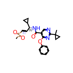 CC1(c2ncc(C(=O)N[C@H](/C=C/S(C)(=O)=O)C3CC3)c(Oc3ccccc3)n2)CC1